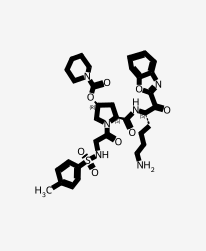 Cc1ccc(S(=O)(=O)NCC(=O)N2C[C@H](OC(=O)N3CCCCC3)C[C@H]2C(=O)N[C@@H](CCCCN)C(=O)c2nc3ccccc3o2)cc1